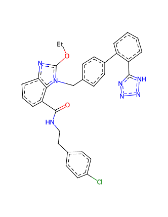 CCOc1nc2cccc(C(=O)NCCc3ccc(Cl)cc3)c2n1Cc1ccc(-c2ccccc2-c2nnn[nH]2)cc1